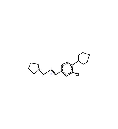 Clc1cc(/C=C/CN2CCCC2)ccc1C1CCCCC1